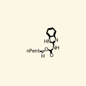 CCCCCPOC(=O)Nc1nc2ccccc2[nH]1